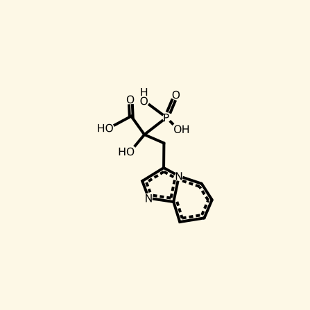 O=C(O)C(O)(Cc1cnc2ccccn12)P(=O)(O)O